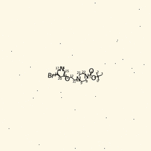 CC(C)(C)OC(=O)N1CCN(CCOc2cncc(Br)c2)CC1